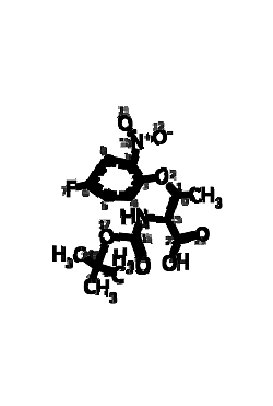 CC(Oc1ccc(F)cc1[N+](=O)[O-])C(NC(=O)OC(C)(C)C)C(=O)O